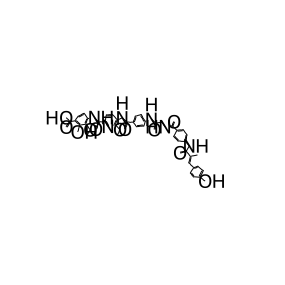 COc1nc(C(=O)Nc2ccc(C(=O)O)c(O)c2OC)ccc1NC(=O)c1ccc(NC(=O)CNC(=O)c2ccc(NC(=O)/C(C)=C/c3ccc(O)cc3)cc2)cc1